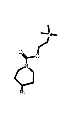 C[Si](C)(C)CCOC(=O)N1CCC(Br)CC1